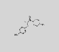 CCC1CCC(N(CC)C(C)Cc2ccc(C(C)(C)C)cc2)CC1